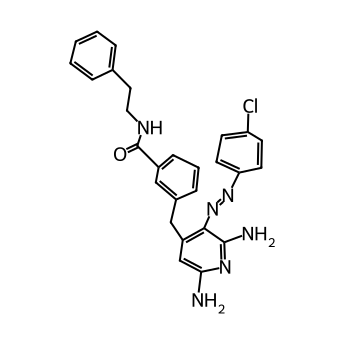 Nc1cc(Cc2cccc(C(=O)NCCc3ccccc3)c2)c(N=Nc2ccc(Cl)cc2)c(N)n1